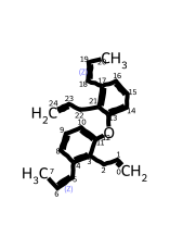 C=CCc1c(/C=C\C)cccc1Oc1cccc(/C=C\C)c1CC=C